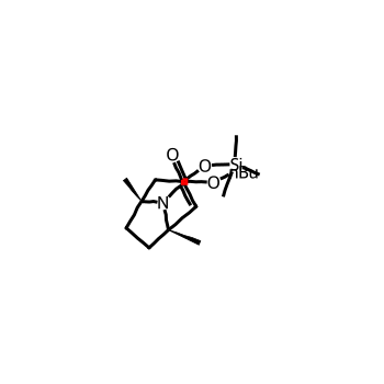 CCCCOC(=O)N1[C@]2(C)CC[C@@]1(C)C=C(O[Si](C)(C)C)C2